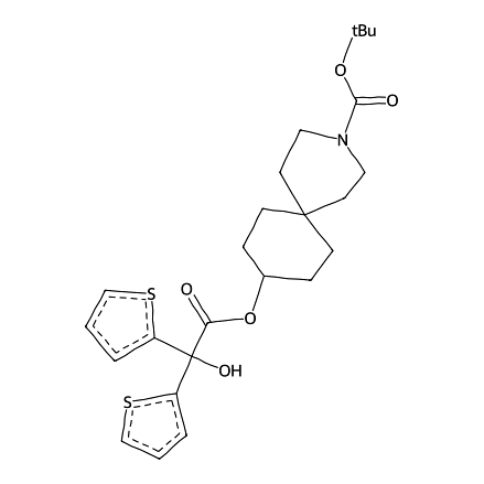 CC(C)(C)OC(=O)N1CCC2(CCC(OC(=O)C(O)(c3cccs3)c3cccs3)CC2)CC1